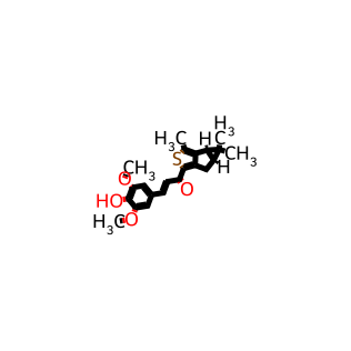 COc1cc(/C=C/C(=O)c2sc(C)c3c2C[C@@H]2[C@H]3C2(C)C)cc(OC)c1O